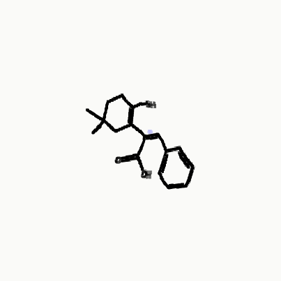 CC1(C)CCC(S)=C(/C(=C/c2ccccc2)C(=O)O)C1